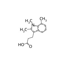 Cc1cccc2c(CCC(=O)O)c(C)n(C)c12